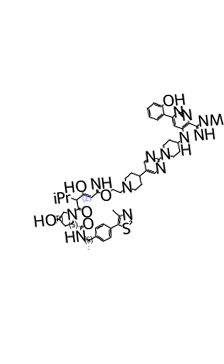 CNC(=N)c1nnc(-c2ccccc2O)cc1NC1CCN(c2ncc(C3CCN(CCOC(=N)/C=C(\O)C(C(=O)N4C[C@H](O)C[C@H]4C(=O)N[C@@H](C)c4ccc(-c5scnc5C)cc4)C(C)C)CC3)cn2)CC1